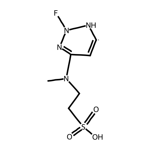 CN(CCS(=O)(=O)O)C1=NN(F)N[C]=C1